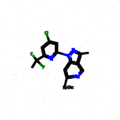 CC(=O)Nc1cc2c(cn1)c(C)nn2-c1cc(Cl)cc(C(C)(F)F)n1